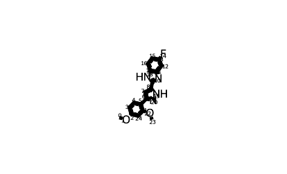 COc1ccc(-c2cc(-c3nc4cc(F)ccc4[nH]3)[nH]n2)c(OC)c1